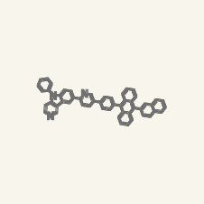 c1ccc(-n2c3ccncc3c3cc(-c4ccc(-c5ccc(-c6c7ccccc7c(-c7ccc8ccccc8c7)c7ccccc67)cc5)cn4)ccc32)cc1